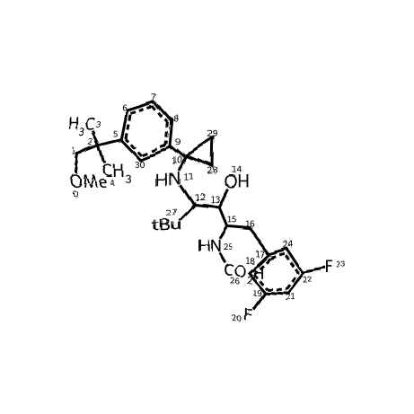 COCC(C)(C)c1cccc(C2(NC(C(O)C(Cc3cc(F)cc(F)c3)NC(=O)O)C(C)(C)C)CC2)c1